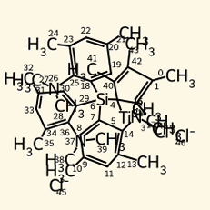 CC1=C(C)[C]([Ti+3])([Si](c2cc(C)cc(C)c2N(C)C)(c2cc(C)cc(C)c2N(C)C)c2cc(C)cc(C)c2N(C)C)C(C)=C1C.[Cl-].[Cl-].[Cl-]